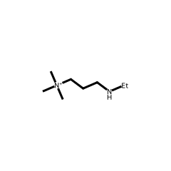 CCNCCC[N+](C)(C)C